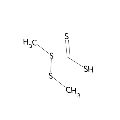 CSSC.S=CS